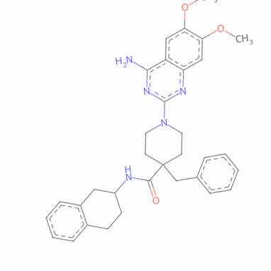 COc1cc2nc(N3CCC(Cc4ccccc4)(C(=O)NC4CCc5ccccc5C4)CC3)nc(N)c2cc1OC